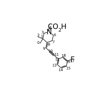 CC1(C)CN(C(=O)O)CC/C1=C\C#Cc1cccc(F)c1